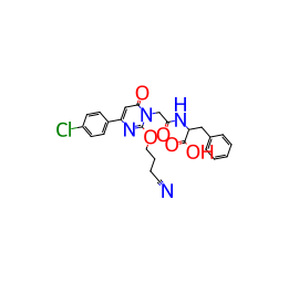 N#CCCCOc1nc(-c2ccc(Cl)cc2)cc(=O)n1CC(=O)NC(Cc1ccccc1)C(=O)O